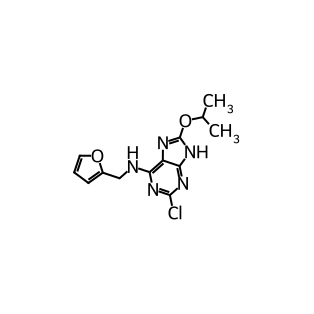 CC(C)Oc1nc2c(NCc3ccco3)nc(Cl)nc2[nH]1